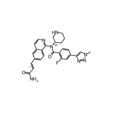 Cn1cc(-c2ccc(C(=O)N(c3nccc4cc(/C=C/C(N)=O)ccc34)[C@@H]3CCCNC3)c(F)c2)nn1